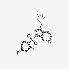 NCCc1cn(S(=O)(=O)c2ccc(F)cc2F)c2cnccc12